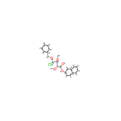 COC(C(=O)Oc1ccc2ccccc2c1)C(OC)C(Cl)OCc1ccccc1